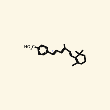 CC(C=CC1=C(C)CCCC1(C)C)=C/C=C/c1ccc(C(=O)O)cc1